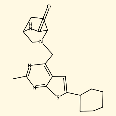 Cc1nc(CN2CC3CCC2C(=O)N3)c2cc(C3CCCCC3)sc2n1